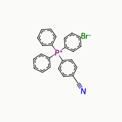 N#Cc1ccc([P+](c2ccccc2)(c2ccccc2)c2ccccc2)cc1.[Br-]